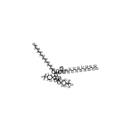 CC(C)(C)C1CCC(OOC(=O)OC2CCC(C(C)(C)C)CC2)CC1.CCCCCCCCCCCCCCCCOC(=O)OOC(=O)OCCCCCCCCCCCCCCCC